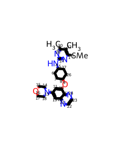 CSc1nc(NC2CCC(Oc3cc(N4CCOCC4)cc4nccnc34)CC2)nc(C)c1C